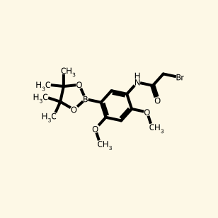 COc1cc(OC)c(B2OC(C)(C)C(C)(C)O2)cc1NC(=O)CBr